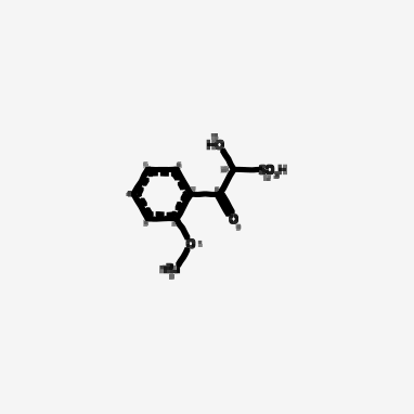 CCCCOc1ccccc1C(=O)C(O)S(=O)(=O)O